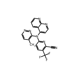 Cc1ccnnc1N(c1ccc(C(F)(F)F)c(C#N)n1)c1ccnc2ncccc12